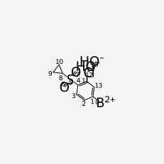 [B+2]c1ccc(S(=O)(=O)C2CC2)c(Cl)c1.[OH-].[OH-]